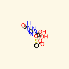 COC(=O)c1ccccc1SC[C@H]1O[C@@H](n2cnc3c(N[C@@H]4CCOC4)ncnc32)[C@H](O)[C@H]1O